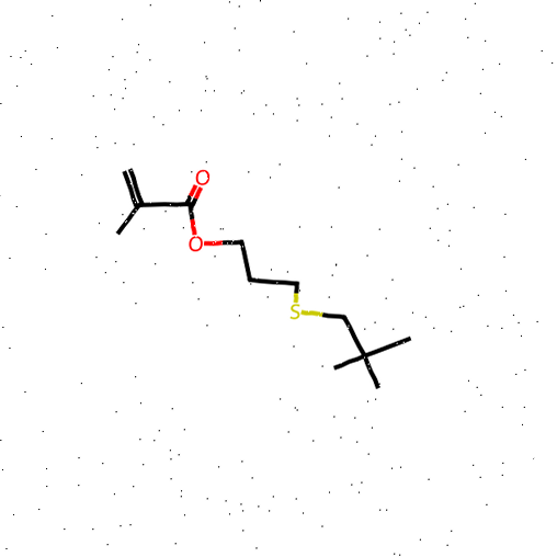 C=C(C)C(=O)OCCCSCC(C)(C)C